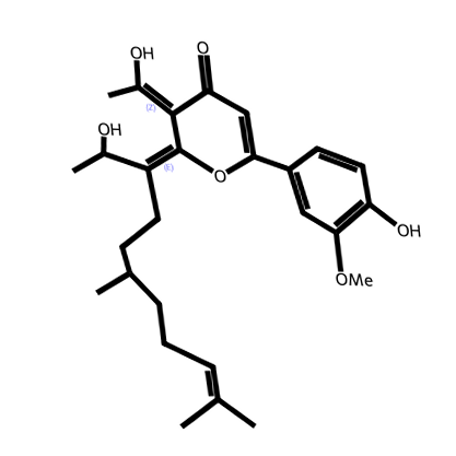 COc1cc(-c2cc(=O)c(=C(/C)O)/c(=C(/CCC(C)CCC=C(C)C)C(C)O)o2)ccc1O